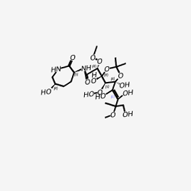 COO[C@@H](C(=O)N[C@H]1CC[C@@H](O)CNC1=O)[C@]1(O)OC(C)(C)O[C@@](O)(/C(O)=C(\O)C(C)(CO)OC)[C@H]1OO